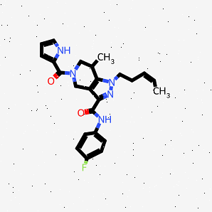 C/C=C\CCn1nc(C(=O)Nc2ccc(F)cc2)c2c1C(C)CN(C(=O)c1ccc[nH]1)C2